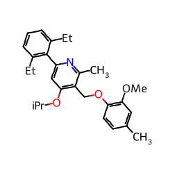 CCc1cccc(CC)c1-c1cc(OC(C)C)c(COc2ccc(C)cc2OC)c(C)n1